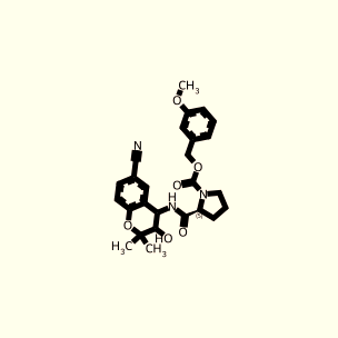 COc1cccc(COC(=O)N2CCC[C@H]2C(=O)NC2c3cc(C#N)ccc3OC(C)(C)C2O)c1